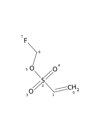 C=CS(=O)(=O)OCF